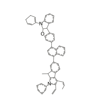 C=Cc1c(/C=C\C)c2c(n1-c1ccccc1)C(C)c1cc(-c3ccc(-c4ccc5c(c4)OC4C5c5ccccc5N4C4=CCCC=C4)c4ccccc34)ccc1-2